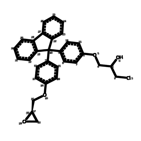 OC(CCl)COc1ccc(C2(c3ccc(OC[C@H]4CO4)cc3)c3ccccc3-c3ccccc32)cc1